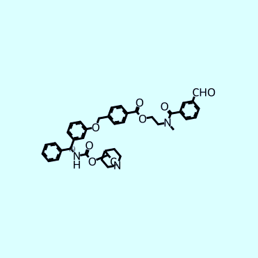 CN(CCOC(=O)c1ccc(COc2cccc([C@@H](NC(=O)OC3CN4CCC3CC4)c3ccccc3)c2)cc1)C(=O)c1cccc(C=O)c1